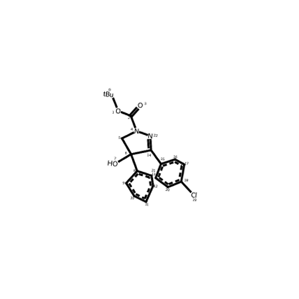 CC(C)(C)OC(=O)N1CC(O)(c2ccccc2)C(c2ccc(Cl)cc2)=N1